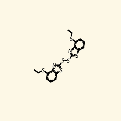 CCSc1cccc2sc(SSc3nc4c(SCC)cccc4s3)nc12